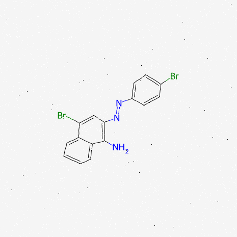 Nc1c(/N=N/c2ccc(Br)cc2)cc(Br)c2ccccc12